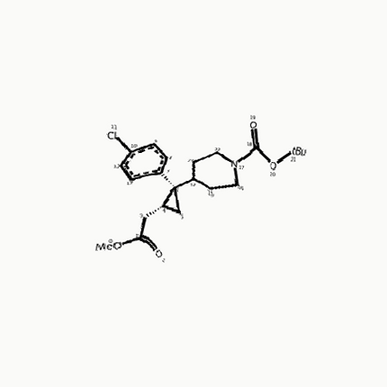 COC(=O)C[C@H]1C[C@]1(c1ccc(Cl)cc1)C1CCN(C(=O)OC(C)(C)C)CC1